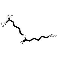 CCCCCCCCCCCCCCCC(=O)OCCCCC(N)CCC